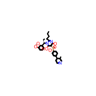 CCCCc1nc(=O)c(S(=O)(=O)c2ccc(-c3ccncc3C)cc2)c(O)n1[C@@H](CC)c1cccc2c1OCO2